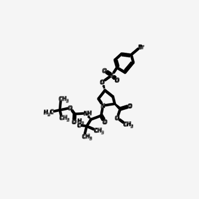 COC(=O)[C@@H]1C[C@@H](OS(=O)(=O)c2ccc(Br)cc2)CN1C(=O)[C@@H](NC(=O)OC(C)(C)C)C(C)(C)C